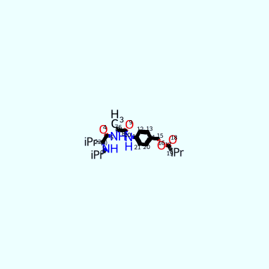 CC(C)N[C@@H](C(=O)N[C@H](C)C(=O)Nc1ccc(COC(=O)C(C)C)cc1)C(C)C